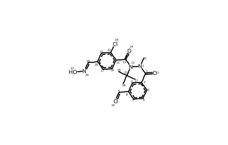 CN(C(=O)c1cccc(C=O)c1)N(C(=O)c1ccc(C=NO)cc1Cl)C(C)(C)C